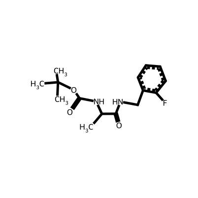 CC(NC(=O)OC(C)(C)C)C(=O)NCc1ccccc1F